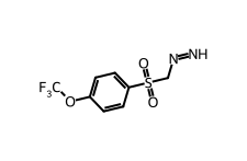 N=NCS(=O)(=O)c1ccc(OC(F)(F)F)cc1